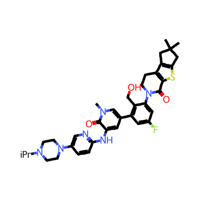 CC(C)N1CCN(c2ccc(Nc3cc(-c4cc(F)cc(N5CCc6c(sc7c6CC(C)(C)C7)C5=O)c4CO)cn(C)c3=O)nc2)CC1